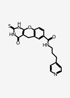 O=C(NCCCc1ccncc1)c1ccc2c(c1)Cc1c([nH]c(=S)[nH]c1=O)O2